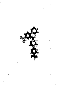 O=C(c1cc([N+](=O)[O-])ccc1N1CCOCC1)N1CCN(c2ccc(C(F)(F)F)cn2)CC1